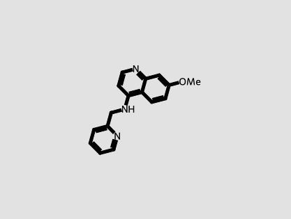 COc1ccc2c(NCc3ccccn3)ccnc2c1